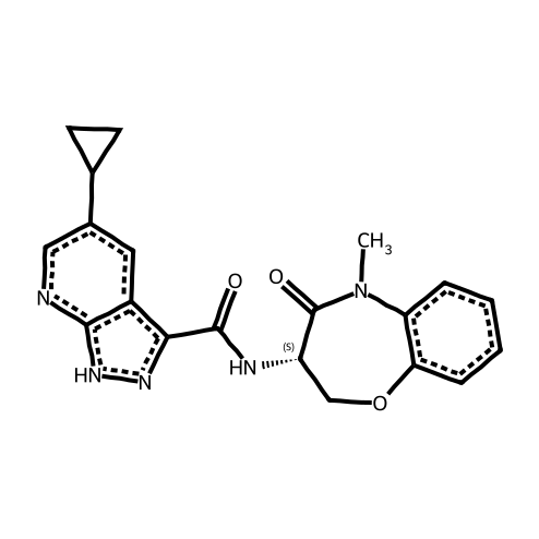 CN1C(=O)[C@@H](NC(=O)c2n[nH]c3ncc(C4CC4)cc23)COc2ccccc21